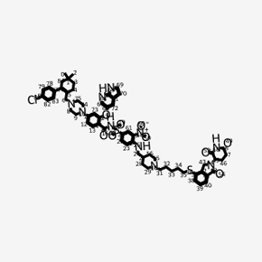 CC1(C)CCC(CN2CCN(c3ccc(C(=O)NS(=O)(=O)c4ccc(NCC5CCN(CCCCCSc6cccc7c6CN(C6CCC(=O)NC6=O)C7=O)CC5)c([N+](=O)[O-])c4)c(Oc4cnc5[nH]ccc5c4)c3)CC2)=C(c2ccc(Cl)cc2)C1